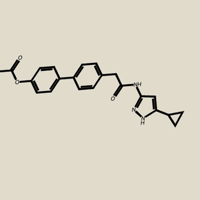 CC(=O)Oc1ccc(-c2ccc(CC(=O)Nc3cc(C4CC4)[nH]n3)cc2)cc1